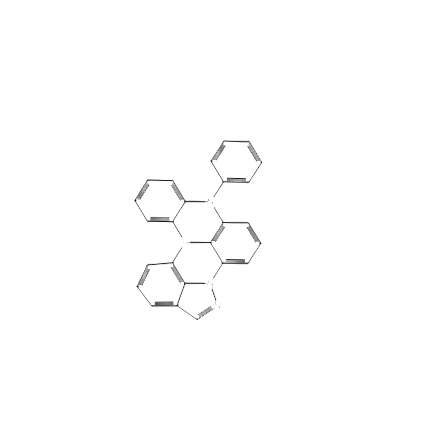 c1ccc(N2c3ccccc3B3c4c2cccc4-n2ncc4cccc3c42)cc1